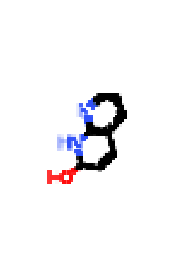 OC1C=Cc2cccnc2N1